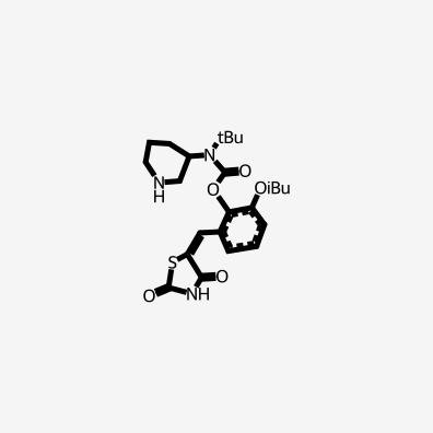 CC(C)COc1cccc(C=C2SC(=O)NC2=O)c1OC(=O)N(C1CCCNC1)C(C)(C)C